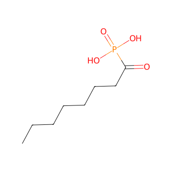 CCCCCCCC(=O)P(=O)(O)O